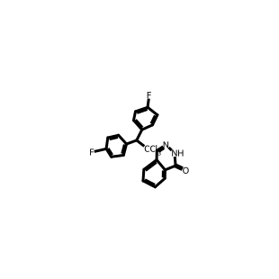 Fc1ccc(C(c2ccc(F)cc2)C(Cl)(Cl)Cl)cc1.O=c1[nH]ncc2ccccc12